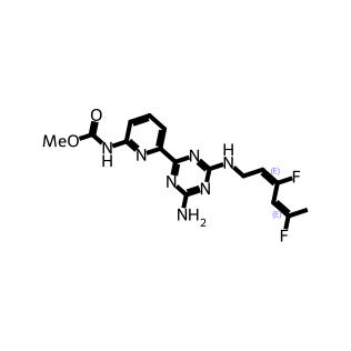 COC(=O)Nc1cccc(-c2nc(N)nc(NC/C=C(F)\C=C(/C)F)n2)n1